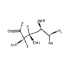 CC(=O)O[C@@](F)(C(=O)F)[C@](O)(F)[C@@H](O)[C@@H](C)O